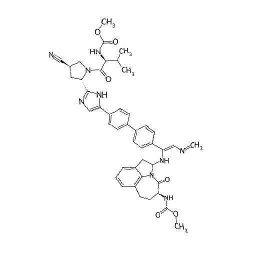 C=N/C=C(\NC1Cc2cccc3c2N1C(=O)[C@@H](NC(=O)OC)CC3)c1ccc(-c2ccc(-c3cnc([C@@H]4C[C@@H](C#N)CN4C(=O)[C@@H](NC(=O)OC)C(C)C)[nH]3)cc2)cc1